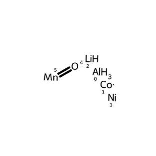 [AlH3].[Co].[LiH].[Ni].[O]=[Mn]